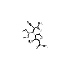 COC(OC)c1c(C#N)c(N)nc2sc(C(N)=O)c(N)c12